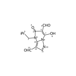 CC(C)Cn1c(=O)c(C=O)c(O)n2ncc(C=O)c12